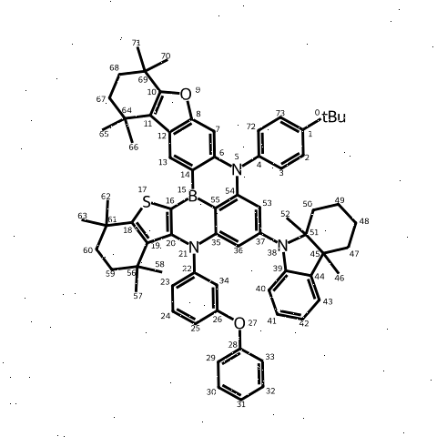 CC(C)(C)c1ccc(N2c3cc4oc5c(c4cc3B3c4sc6c(c4N(c4cccc(Oc7ccccc7)c4)c4cc(N7c8ccccc8C8(C)CCCCC78C)cc2c43)C(C)(C)CCC6(C)C)C(C)(C)CCC5(C)C)cc1